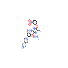 CCc1nc(C(N)=O)c(Nc2ccc(N3CCC4(CCN(C)CC4)CC3)cc2)nc1Oc1cccc([N+](=O)[O-])c1